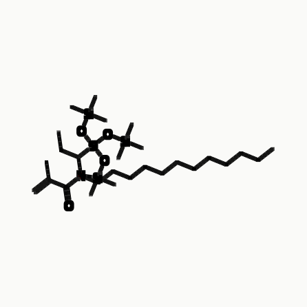 C=C(C)C(=O)N(CCCCCCCCCCCC)C(CC)[Si](O[Si](C)(C)C)(O[Si](C)(C)C)O[Si](C)(C)C